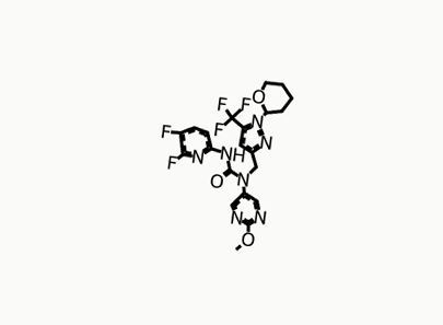 COc1ncc(N(Cc2cc(C(F)(F)F)n(C3CCCCO3)n2)C(=O)Nc2ccc(F)c(F)n2)cn1